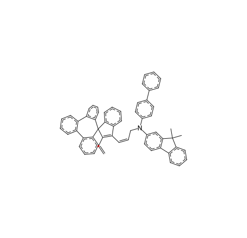 C=CC1=C(/C=C\CN(c2ccc(-c3ccccc3)cc2)c2ccc3c(c2)C(C)(C)c2ccccc2-3)c2ccccc2C12c1ccccc1-c1ccccc1-c1ccccc12